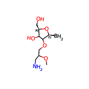 B[C@@H]1O[C@H](CO)C(O)C1OCC(CN)OC